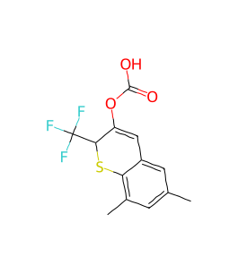 Cc1cc(C)c2c(c1)C=C(OC(=O)O)C(C(F)(F)F)S2